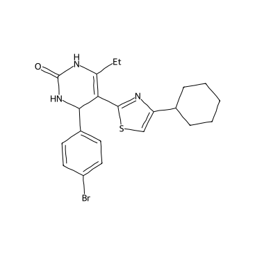 CCC1=C(c2nc(C3CCCCC3)cs2)C(c2ccc(Br)cc2)NC(=O)N1